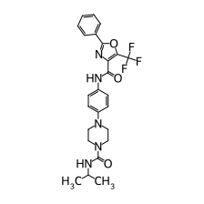 CC(C)NC(=O)N1CCN(c2ccc(NC(=O)c3nc(-c4ccccc4)oc3C(F)(F)F)cc2)CC1